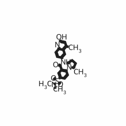 Cc1cc(O)nc2ccc(NC(=O)c3cc(S(=O)(=O)N(C)C)ccc3N3CCCC3C)cc12